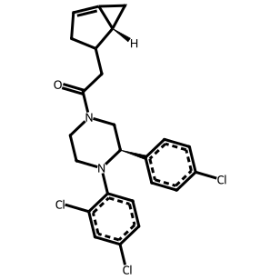 O=C(CC1CC=C2C[C@@H]21)N1CCN(c2ccc(Cl)cc2Cl)[C@H](c2ccc(Cl)cc2)C1